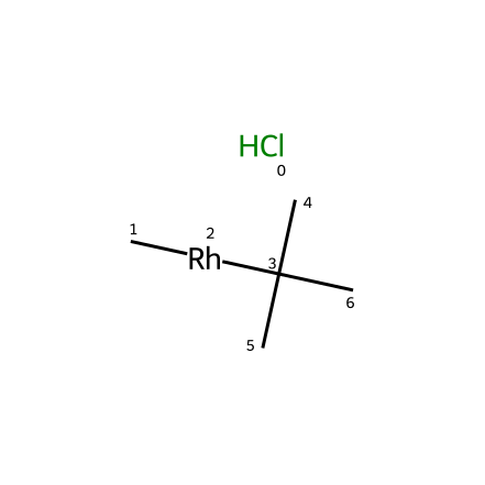 Cl.[CH3][Rh][C](C)(C)C